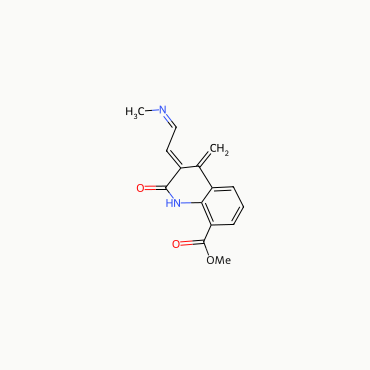 C=c1/c(=C\C=N/C)c(=O)[nH]c2c(C(=O)OC)cccc12